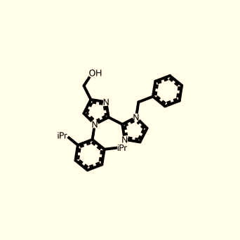 CC(C)c1cccc(C(C)C)c1-n1cc(CO)nc1-c1nccn1Cc1ccccc1